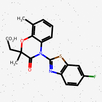 Cc1cccc2c1OC(C)(CC(=O)O)C(=O)N2c1nc2ccc(F)cc2s1